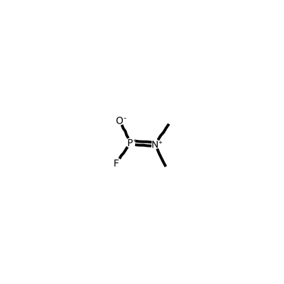 C[N+](C)=[P+]([O-])F